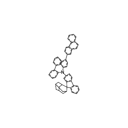 c1ccc(-c2ccccc2N(c2ccc(-c3ccc4c(ccc5ccccc54)c3)cc2)c2ccc3c(c2)C2(c4ccccc4-3)C3CC4CC(C3)CC2C4)cc1